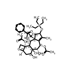 CC[Si](CC)(CC)OC1C[C@]2(C(C)(C)O)C(=C1C)[C@H](OC(C)=O)[C@H](O)[C@@]1(C)[C@H]([C@@H]2OC(=O)c2ccccc2)[C@]2(OC(C)=O)CO[C@@H]2C[C@@H]1O